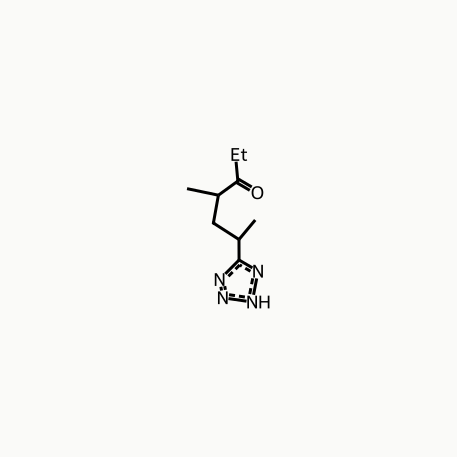 CCC(=O)C(C)CC(C)c1nn[nH]n1